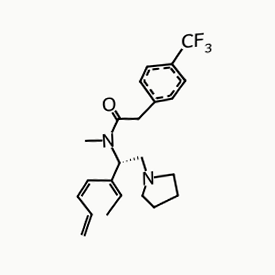 C=C/C=C\C(=C/C)[C@@H](CN1CCCC1)N(C)C(=O)Cc1ccc(C(F)(F)F)cc1